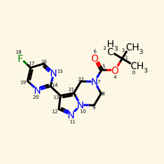 CC(C)(C)OC(=O)N1CCn2ncc(-c3ncc(F)cn3)c2C1